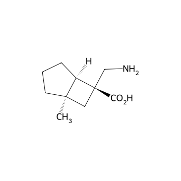 C[C@]12CCC[C@H]1[C@@](CN)(C(=O)O)C2